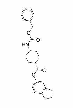 O=C(N[C@H]1CC[C@@H](C(=O)Oc2ccc3c(c2)CCC3)CC1)OCc1ccccc1